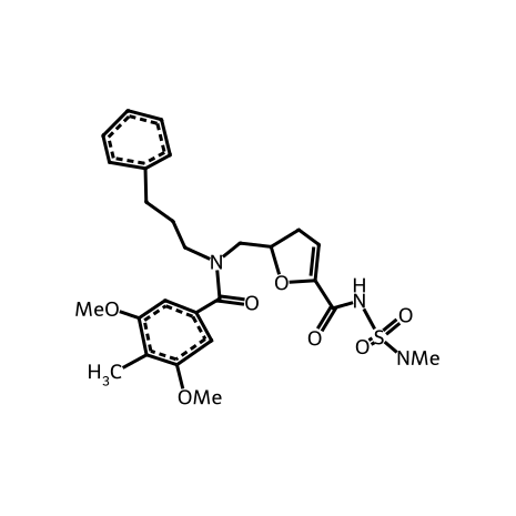 CNS(=O)(=O)NC(=O)C1=CCC(CN(CCCc2ccccc2)C(=O)c2cc(OC)c(C)c(OC)c2)O1